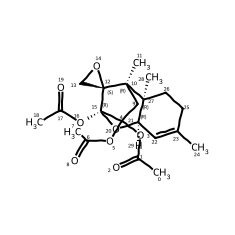 CC(=O)OC1(OC(C)=O)C[C@@]2(C)[C@]3(CO3)[C@]1(OC(C)=O)O[C@@H]1C=C(C)CC[C@@]12C